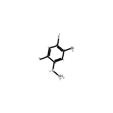 Cc1cc(F)c(Br)cc1SN